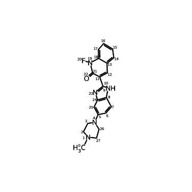 CN1CCN(c2ccc3[nH]c(-c4cc5ccccc5n(F)c4=O)nc3c2)CC1